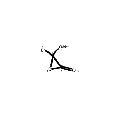 CCC1(OC)OC1=O